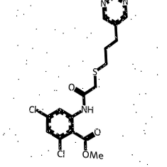 COC(=O)c1c(Cl)cc(Cl)cc1NC(=O)CSCCCc1cncnc1